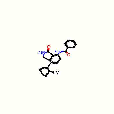 N#Cc1ccccc1-c1ccc(NC(=O)c2ccccc2)c2c1CNC2=O